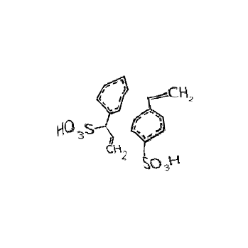 C=CC(c1ccccc1)S(=O)(=O)O.C=Cc1ccc(S(=O)(=O)O)cc1